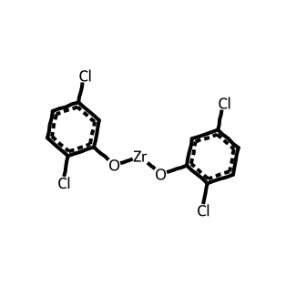 Clc1ccc(Cl)c([O][Zr][O]c2cc(Cl)ccc2Cl)c1